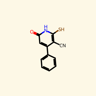 N#Cc1c(-c2ccccc2)cc(=O)[nH]c1S